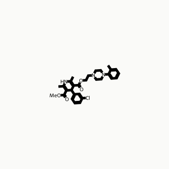 COC(=O)C1=C(C)NC(C)=C(C(=O)OCCN2CCN(c3ccccc3C)CC2)C1c1cccc(Cl)c1